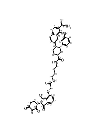 NC(=O)c1cnc2ccc(C3CCC(C(=O)NCCCCNC(=O)COc4cccc5c4C(=O)N(C4CCC(=O)NC4=O)C5=O)CC3)cc2c1Nc1ccccc1